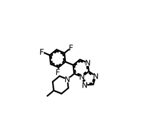 CC1CCN(c2c(-c3c(F)cc(F)cc3F)cnc3ncnn23)CC1